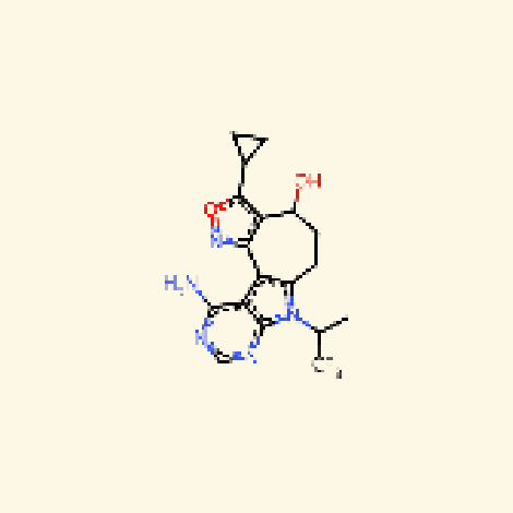 CC(n1c2c(c3c(N)ncnc31)-c1noc(C3CC3)c1C(O)CC2)C(F)(F)F